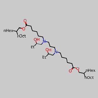 CCCCCCCCC(CCCCCC)COC(=O)CCCCCN(CCCN(CCCCCC(=O)OCC(CCCCCC)CCCCCCCC)CC(O)CC)CC(O)CC